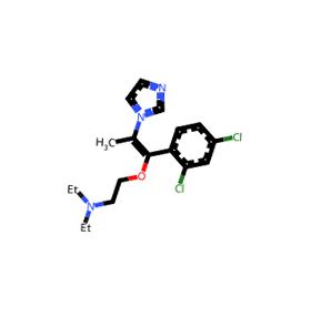 CCN(CC)CCOC(=C(C)n1ccnc1)c1ccc(Cl)cc1Cl